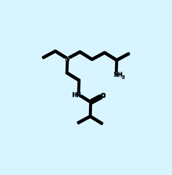 CCN(CCCC(C)N)CCNC(=O)C(C)C